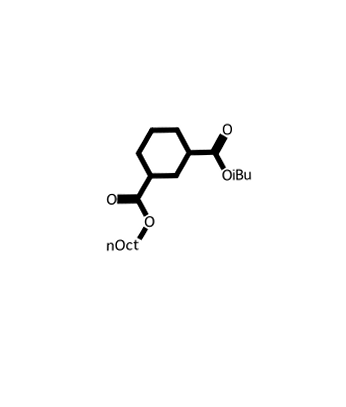 CCCCCCCCOC(=O)C1CCCC(C(=O)OCC(C)C)C1